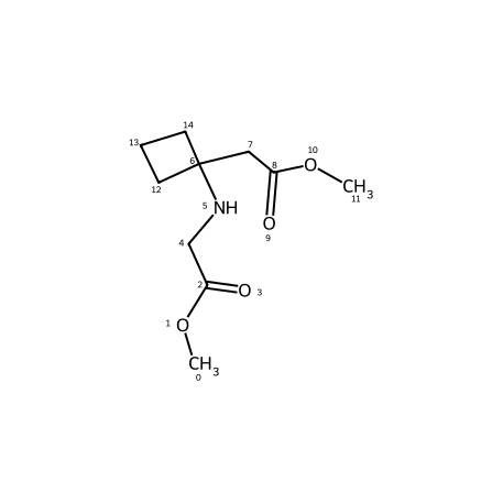 COC(=O)CNC1(CC(=O)OC)CCC1